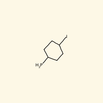 PC1CCC(I)CC1